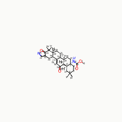 COC(=O)N[C@]12CCC(C)(C)C[C@H]1[C@H]1C(=O)C=C3[C@@]4(C)Cc5cnoc5C(C)(C)[C@@H]4CC[C@@]3(C)[C@]1(C)CC2